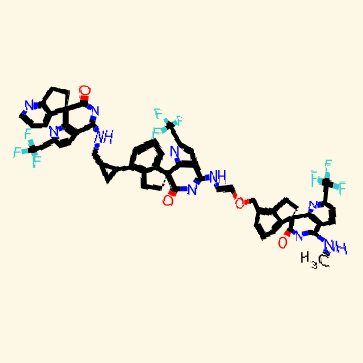 CNC1=NC(=O)[C@]2(CCc3c(COCCNC4=NC(=O)[C@]5(CCc6c(C7CC7CNC7=NC(=O)[C@]8(CCc9ncccc98)c8nc(C(F)(F)F)ccc87)cccc65)c5nc(C(F)(F)F)ccc54)cccc32)c2nc(C(F)(F)F)ccc21